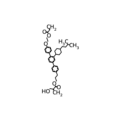 C=CC(=O)OCCOc1ccc(-c2ccc(-c3ccc(CCCOC(=O)C(=C)CO)cc3)cc2C2CCC(CCC(C)C)CC2)cc1